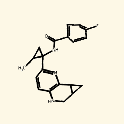 CC1CC1(NC(=O)c1ccc(F)cc1)c1ccc2c(n1)C1CC1CN2